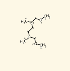 COCP(C)CCP(C)COC